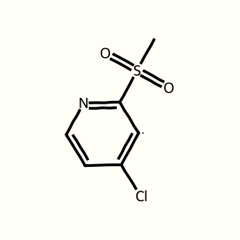 CS(=O)(=O)c1[c]c(Cl)ccn1